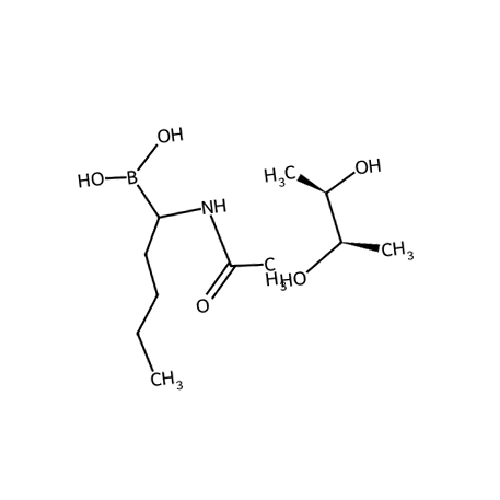 CCCCC(NC(C)=O)B(O)O.C[C@@H](O)[C@@H](C)O